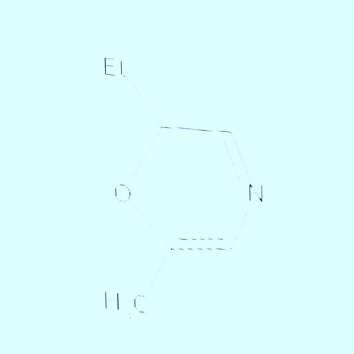 CCC1C=NC=C(C)O1